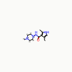 Cc1[c][nH]c(C)c1C(=O)NN1CCN(C)CC1